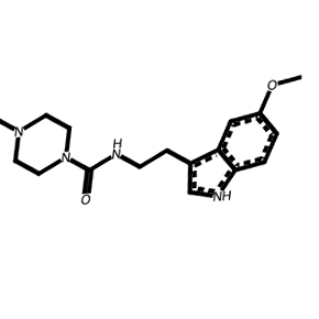 COc1ccc2[nH]cc(CCNC(=O)N3CCN(C)CC3)c2c1